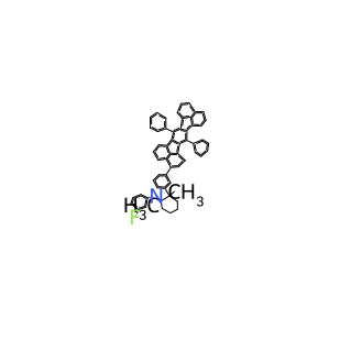 CC12CCCCC1(C)N(c1cccc(F)c1)c1ccc(-c3ccc4c5c(-c6ccccc6)c6c7cccc8cccc(c6c(-c6ccccc6)c5c5cccc3c54)c87)cc12